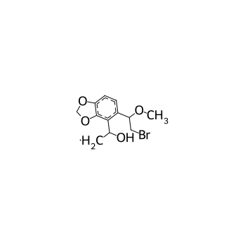 [CH2]C(O)c1c(C(CBr)OC)ccc2c1OCO2